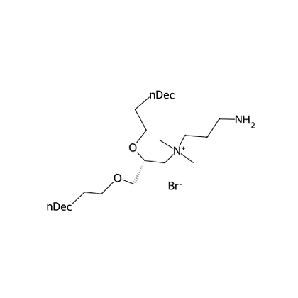 CCCCCCCCCCCCOC[C@@H](C[N+](C)(C)CCCN)OCCCCCCCCCCCC.[Br-]